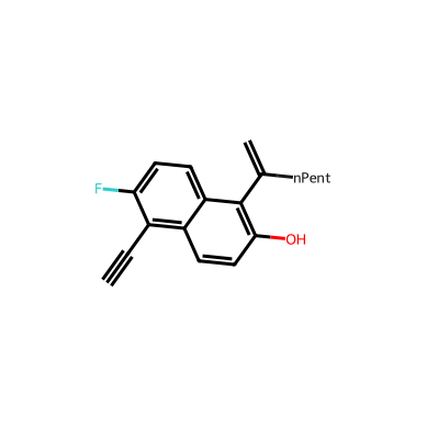 C#Cc1c(F)ccc2c(C(=C)CCCCC)c(O)ccc12